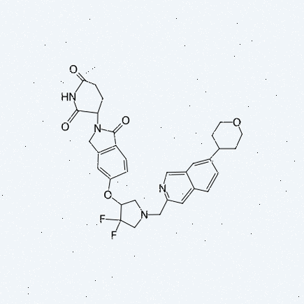 O=C1CCC(N2Cc3cc(OC4CN(Cc5cc6ccc(C7CCOCC7)cc6cn5)CC4(F)F)ccc3C2=O)C(=O)N1